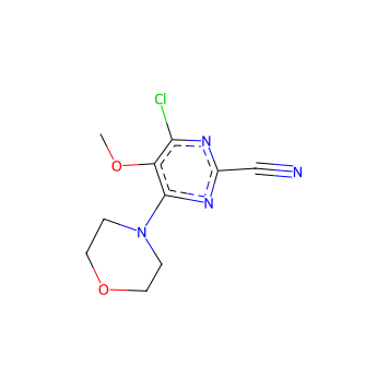 COc1c(Cl)nc(C#N)nc1N1CCOCC1